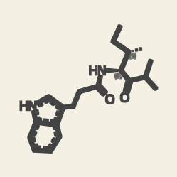 CC[C@H](C)[C@H](NC(=O)CCc1c[nH]c2ccccc12)C(=O)C(C)C